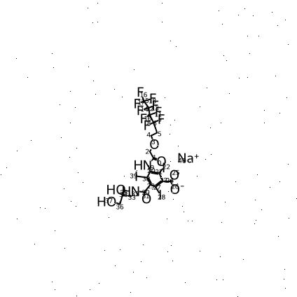 O=C(COCCC(F)(F)C(F)(F)C(F)(F)C(F)(F)F)Nc1c(I)c(C(=O)[O-])c(I)c(C(=O)NCC(O)CO)c1I.[Na+]